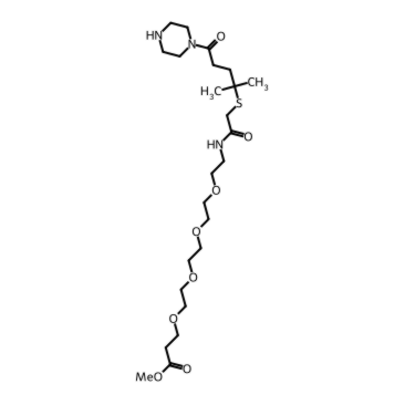 COC(=O)CCOCCOCCOCCOCCNC(=O)CSC(C)(C)CCC(=O)N1CCNCC1